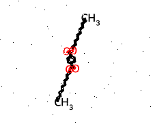 CCCCCCCCCCCOC(=O)c1ccc(C(=O)OCCCCCCCCCCC)cc1